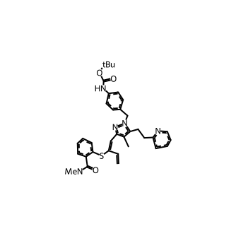 C=C/C(=C\c1nn(Cc2ccc(NC(=O)OC(C)(C)C)cc2)c(CCc2ccccn2)c1C)Sc1ccccc1C(=O)NC